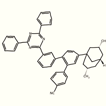 C[C@@H]1C[C@@H]2C[C@H](C)CC(c3ccc(-c4cccc(-c5nc(-c6ccccc6)nc(-c6ccccc6)n5)c4)c(-c4ccc(C#N)cc4)c3)(C1)C2